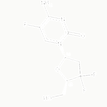 Nc1nc(=O)n([C@@H]2CC(F)(F)[C@H](CO)O2)cc1F